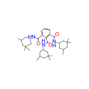 CC1CC(NC(=O)c2cccc(C(=O)NC3CC(C)CC(C)(C)C3)c2C(=O)NC2CC(C)CC(C)(C)C2)CC(C)(C)C1